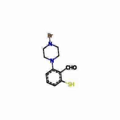 O=Cc1c(S)cccc1N1CCN(Br)CC1